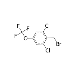 FC(F)(F)Oc1cc(Cl)c(CBr)c(Cl)c1